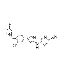 N#Cc1cnc(Nc2cn(-c3ccc(CN4CC[C@@H](F)C4)c(Cl)c3)cn2)cn1